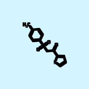 Cc1ccc(S(=O)(=O)CC(=O)c2cccs2)cc1